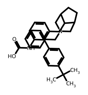 CC(C)(C)c1ccc(-c2c(CC3C4CCC3CN(Cc3ccccc3)C4)cccc2NC(=O)O)cc1